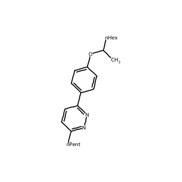 CCCCCCC(C)Oc1ccc(-c2ccc(CCCCC)nn2)cc1